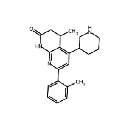 Cc1ccccc1-c1cc(C2CCCNC2)c2c(n1)NC(=O)CC2C